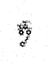 C[S+]([O-])c1nc(N[C@H]2CC[C@H](OCCCOC3CCCCO3)CC2)cc(-n2c(C(F)F)nc3ccccc32)n1